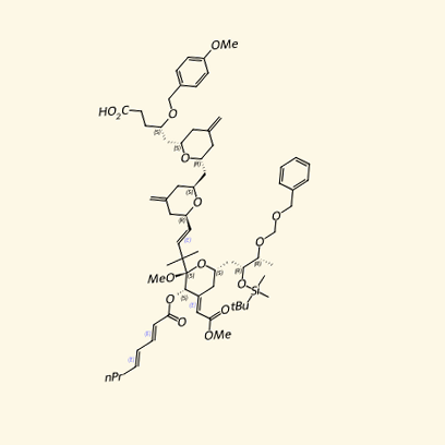 C=C1C[C@H](C[C@@H]2CC(=C)C[C@H](/C=C/C(C)(C)[C@]3(OC)O[C@H](C[C@@H](O[Si](C)(C)C(C)(C)C)[C@@H](C)OCOCc4ccccc4)C/C(=C\C(=O)OC)[C@@H]3OC(=O)/C=C/C=C/CCC)O2)O[C@H](C[C@H](CCC(=O)O)OCc2ccc(OC)cc2)C1